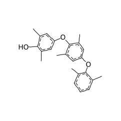 Cc1cc(Oc2c(C)cc(Oc3c(C)cccc3C)cc2C)cc(C)c1O